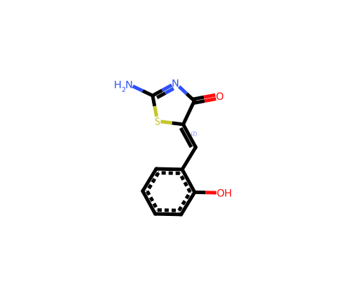 NC1=NC(=O)/C(=C/c2ccccc2O)S1